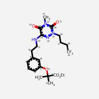 CCOC(=O)C(C)(C)Oc1cccc(CCNc2nn(CCCC(F)(F)F)c(=O)n(C)c2=O)c1